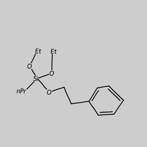 CCC[Si](OCC)(OCC)OCCc1ccccc1